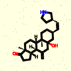 C=C1C[C@@]2(O)C[C@H](/C=C\[C@@H]3CCNC3)CC[C@]2(C)[C@H]2CC[C@]3(C)C(=O)CC[C@H]3[C@H]12